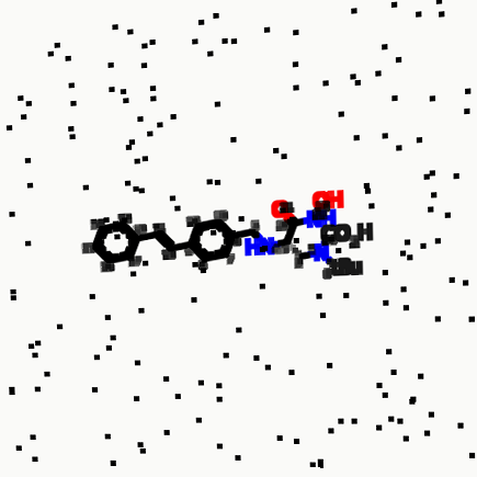 CC(C)(C)N(C[C@H](NCc1ccc(/C=C/c2ccccc2)cc1)C(=O)NO)C(=O)O